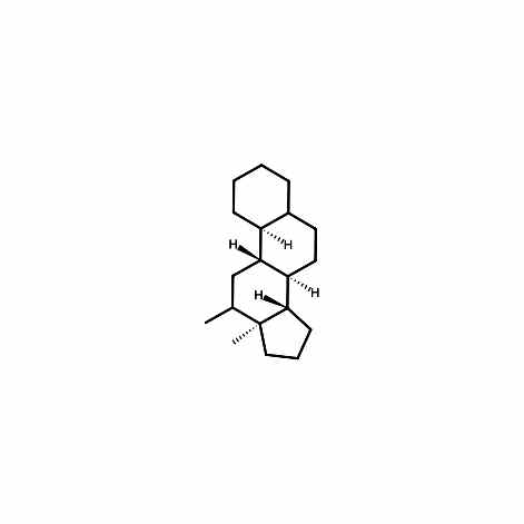 CC1C[C@H]2[C@@H](CCC3CCCC[C@@H]32)[C@@H]2CCC[C@@]12C